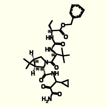 CC[C@H](NC(=O)N[C@H](C(=O)N1C[C@H]2[C@@H]([C@H]1C(=O)NC(C(=O)C(N)=O)C1CC1)C2(C)C)C(C)(C)C)C(=O)OCc1ccccc1